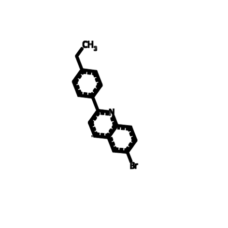 CCc1ccc(-c2c[c]c3cc(Br)ccc3n2)cc1